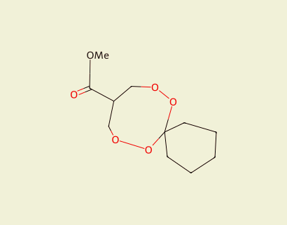 COC(=O)C1COOC2(CCCCC2)OOC1